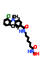 Cc1cccc(Cl)c1N(C)c1ccc(C(=O)NCCCCCCC(=O)NO)cc1